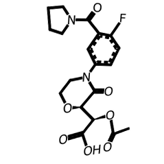 CC(=O)O[C@@H](C(=O)O)[C@H]1OCCN(c2ccc(F)c(C(=O)N3CCCC3)c2)C1=O